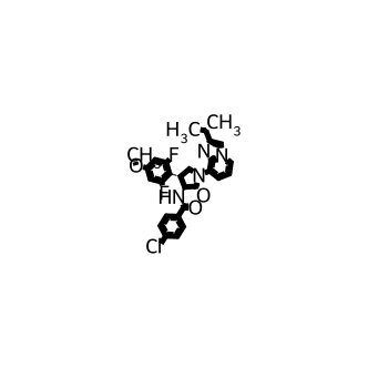 COc1cc(F)c([C@@H]2CN(c3cccn4cc(C(C)C)nc34)C(=O)[C@H]2NC(=O)c2ccc(Cl)cc2)c(F)c1